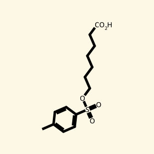 Cc1ccc(S(=O)(=O)OCCCCCCC(=O)O)cc1